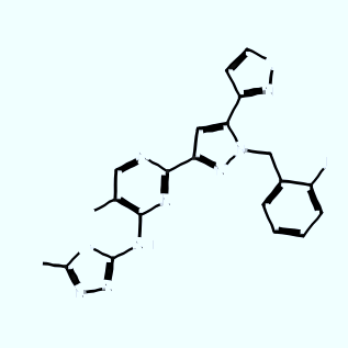 Cc1nnc(Nc2nc(-c3cc(-c4ccon4)n(Cc4ccccc4F)n3)ncc2F)o1